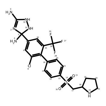 NC1=NC(N)(c2cc(Cl)c(-c3ccc(S(=O)(=O)CC4CCCN4)cc3)c(C(F)(F)F)c2)NN1